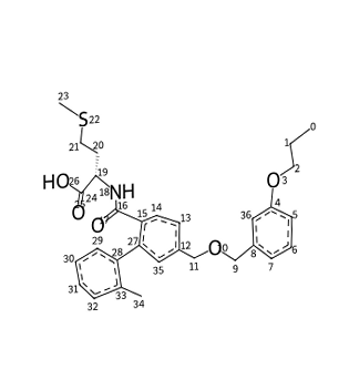 CCCOc1cccc(COCc2ccc(C(=O)N[C@@H](CCSC)C(=O)O)c(-c3ccccc3C)c2)c1